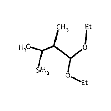 CCOC(OCC)C(C)C(C)[SiH3]